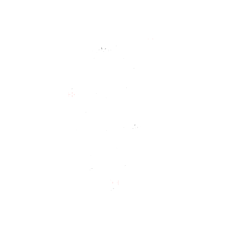 COc1cc(-c2c(O)cc(OC)c3c2ccc2cc(O)ccc23)cc2ccc3cc(O)ccc3c12